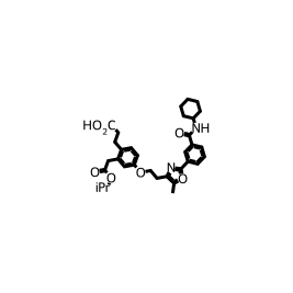 Cc1oc(-c2cccc(C(=O)NC3CCCCC3)c2)nc1CCOc1ccc(CCC(=O)O)c(CC(=O)OC(C)C)c1